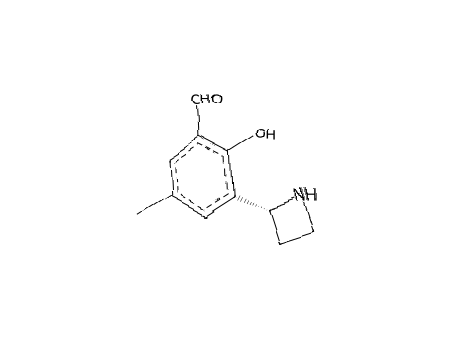 Cc1cc(C=O)c(O)c([C@H]2CCN2)c1